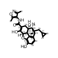 Cc1noc(C)c1NC(=O)C1=C(O)[C@@H]2Oc3c(O)ccc4c3[C@@]23CCN(CC2CC2)[C@H](C4)[C@]3(O)C1